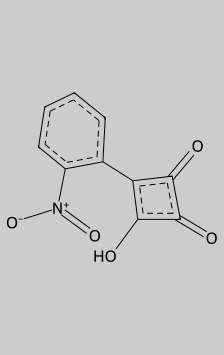 O=c1c(O)c(-c2ccccc2[N+](=O)[O-])c1=O